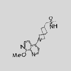 COc1nccc2c(N3CC4(CC(CS(C)(=N)=O)C4)C3)ccnc12